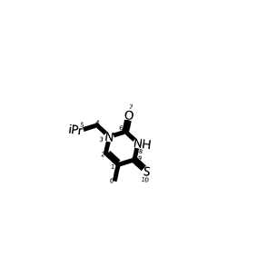 Cc1cn(CC(C)C)c(=O)[nH]c1=S